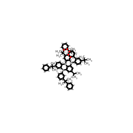 CC(C)c1cc2c3c(c1)N(c1ccc(C(C)(C)C)cc1-c1ccc(-c4ccccc4)cc1)c1cc4c(cc1B3c1ccc(C(C)(C)c3ccccc3)cc1N2c1cccc(C(C)(C)c2ccccc2)c1)C(C)(C)CCC4(C)C